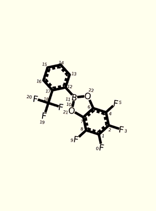 Fc1c(F)c(F)c2c(c1F)OB(c1ccccc1C(F)(F)F)O2